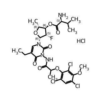 CCc1cn([C@@H]2O[C@H](C)[C@@H](OC(=O)[C@@H](N)C(C)C)[C@@H]2F)c(=O)n(NC(=O)C(C)Oc2c(Cl)cc(Cl)c(OC)c2Cl)c1=O.Cl